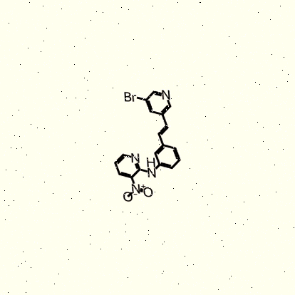 O=[N+]([O-])c1cccnc1Nc1cccc(C=Cc2cncc(Br)c2)c1